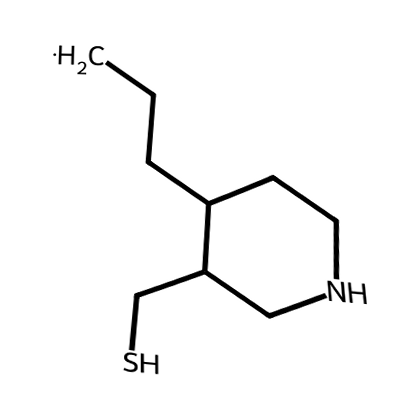 [CH2]CCC1CCNCC1CS